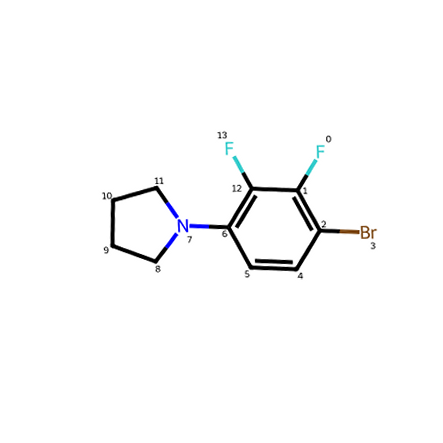 Fc1c(Br)ccc(N2CCCC2)c1F